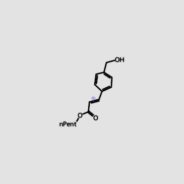 CCCCCOC(=O)/C=C/c1ccc(CO)cc1